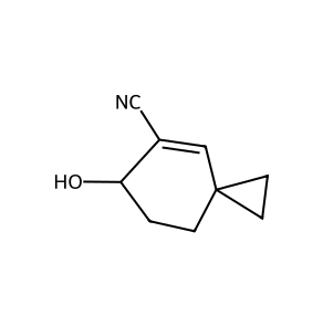 N#CC1=CC2(CCC1O)CC2